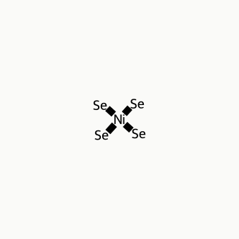 [Se]=[Ni](=[Se])(=[Se])=[Se]